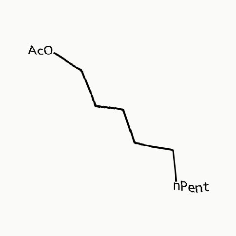 [CH2]C(=O)OCCCCCCCCCC